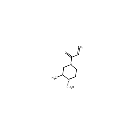 C=CC(=O)N1CCN(C(=O)O)C(C)C1